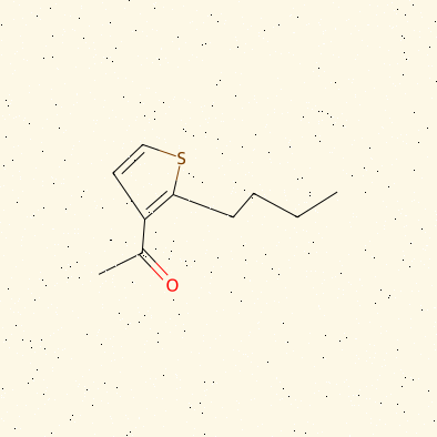 CCCCc1sccc1C(C)=O